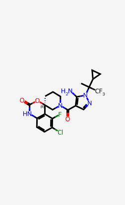 CC(C1CC1)(n1ncc(C(=O)N2CCC[C@@]3(C2)OC(=O)Nc2ccc(Cl)c(F)c23)c1N)C(F)(F)F